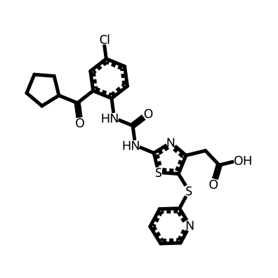 O=C(O)Cc1nc(NC(=O)Nc2ccc(Cl)cc2C(=O)C2CCCC2)sc1Sc1ccccn1